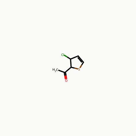 CC(=O)C1SC=CC1Cl